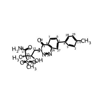 Cc1ccc(-c2ccc3c(=O)n(CC(O)C(C)(C(N)=O)S(C)(=O)=O)nnc3c2)cc1